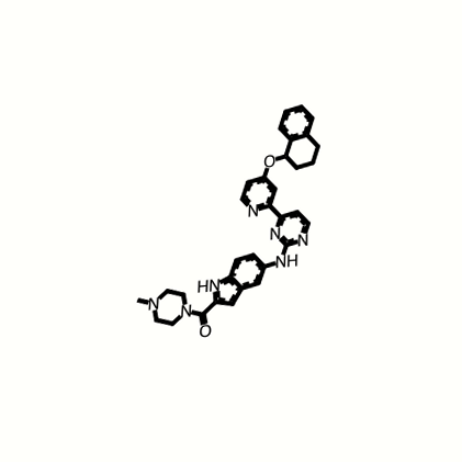 CN1CCN(C(=O)c2cc3cc(Nc4nccc(-c5cc(OC6CCCc7ccccc76)ccn5)n4)ccc3[nH]2)CC1